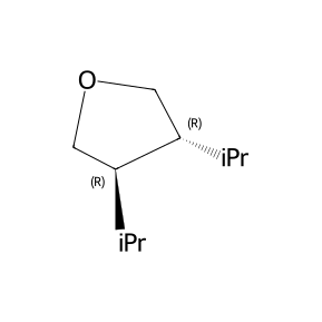 CC(C)[C@H]1COC[C@@H]1C(C)C